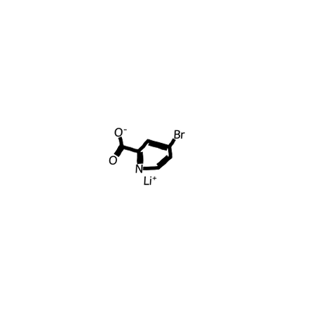 O=C([O-])c1cc(Br)ccn1.[Li+]